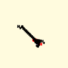 C=C1CC[C@@]2(O)C3CC4C=CC(OC(=O)CCCCCCCCCCCCCCCCCCCCC)=C5O[C@@H]1[C@]2(CCN3CC1CC1)C54